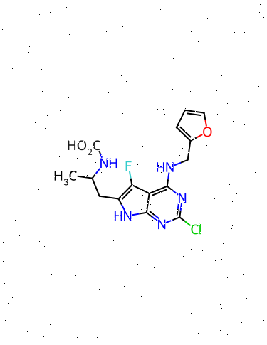 CC(Cc1[nH]c2nc(Cl)nc(NCc3ccco3)c2c1F)NC(=O)O